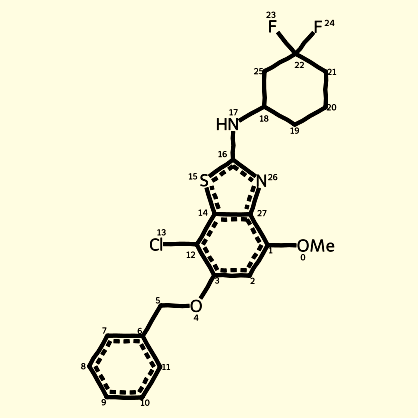 COc1cc(OCc2ccccc2)c(Cl)c2sc(NC3CCCC(F)(F)C3)nc12